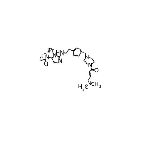 CC(C)[C@H]1COC(=O)N1c1ccnc(NCCc2ccc(CN3CCN(C(=O)/C=C/CN(C)C)CC3)cc2)n1